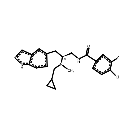 CN(CC1CC1)[C@H](CNC(=O)c1ccc(Cl)c(Cl)c1)Cc1ccc2[nH]ncc2c1